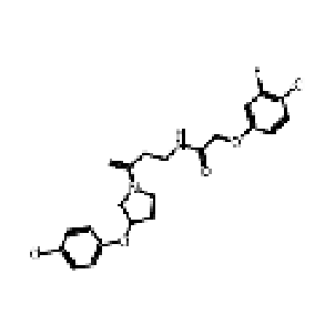 C=C(CCNC(=O)COc1ccc(Cl)c(F)c1)N1CCC(Oc2ccc(Cl)cc2)C1